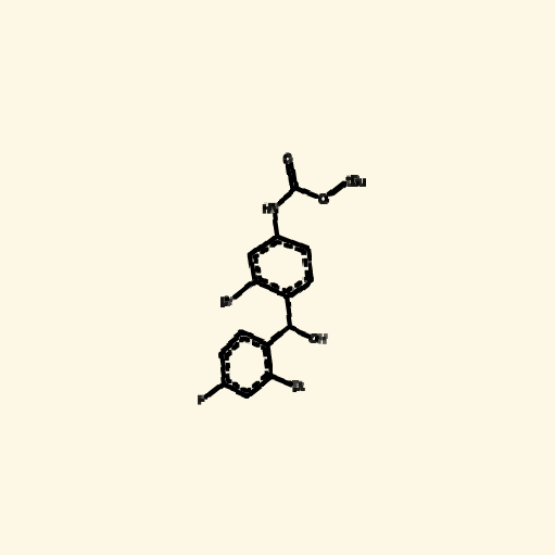 CCc1cc(F)ccc1C(O)c1ccc(NC(=O)OC(C)(C)C)cc1Br